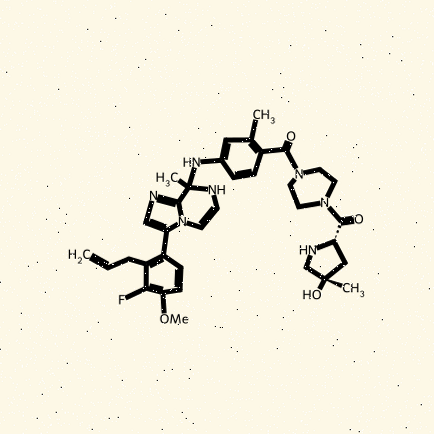 C=CCc1c(-c2cnc3n2C=CNC3(C)Nc2ccc(C(=O)N3CCN(C(=O)[C@@H]4C[C@](C)(O)CN4)CC3)c(C)c2)ccc(OC)c1F